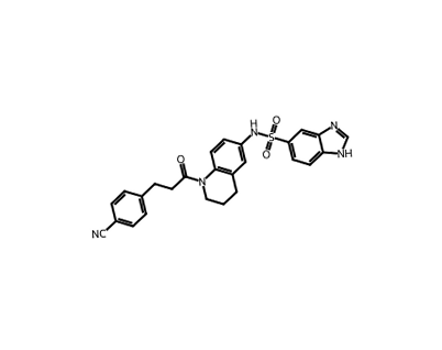 N#Cc1ccc(CCC(=O)N2CCCc3cc(NS(=O)(=O)c4ccc5[nH]cnc5c4)ccc32)cc1